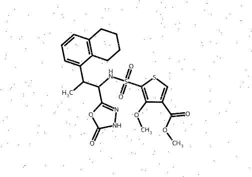 COC(=O)c1csc(S(=O)(=O)NC(c2n[nH]c(=O)o2)C(C)c2cccc3c2CCCC3)c1OC